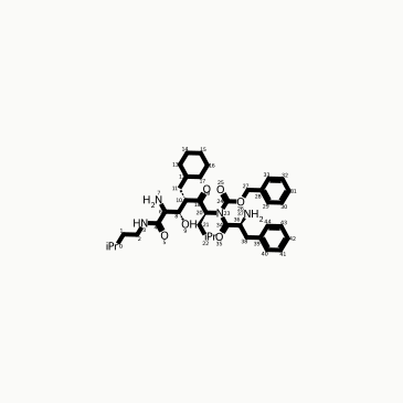 CC(C)CCNC(=O)C(N)[C@@H](O)[C@H](CC1CCCCC1)C(=O)[C@H](CC(C)C)N(C(=O)OCc1ccccc1)C(=O)[C@@H](N)Cc1ccccc1